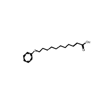 O=C(O)CCCCCCCCCCSc1ccccc1